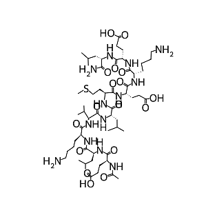 CSCC[C@H](NC(=O)[C@H](CC(C)C)NC(=O)[C@@H](NC(=O)[C@H](CCCCN)NC(=O)[C@H](CC(C)C)NC(=O)[C@H](CCC(=O)O)NC(C)=O)C(C)C)C(=O)N[C@@H](CCC(=O)O)C(=O)N[C@@H](CCCCN)C(=O)N[C@@H](CCC(=O)O)C(=O)N[C@@H](CC(C)C)C(N)=O